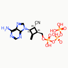 C=C1[C@@H](n2cnc3c(N)ncnc32)[C@H](C#N)[C@H]1COP(=O)(O)OP(=O)(O)OP(=O)(O)O